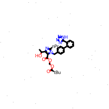 CCCc1nc(C(C)O)c(C(=O)OCOC(=O)C(C)(C)C)n1Cc1ccc(-c2ccccc2-c2nnn[nH]2)cc1